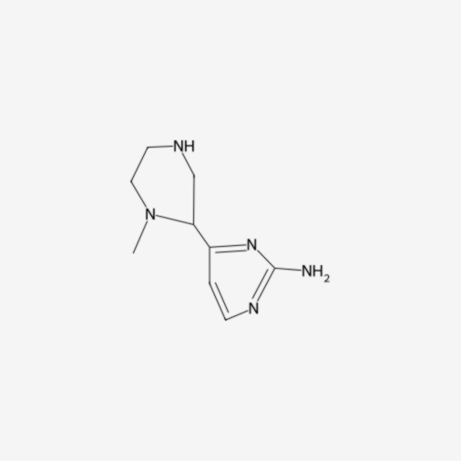 CN1CCNCC1c1ccnc(N)n1